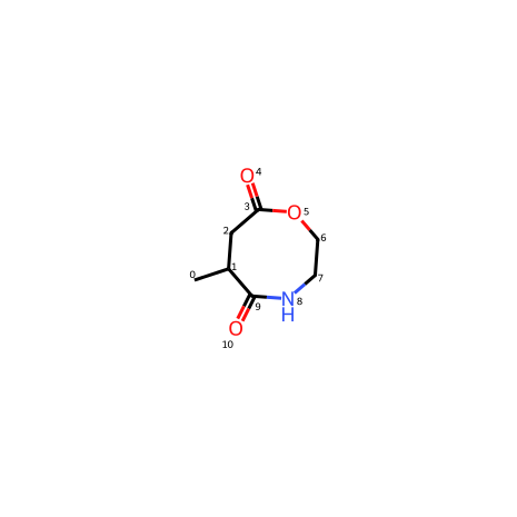 CC1CC(=O)OCCNC1=O